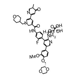 COc1cc(-c2cnc(N)c(-c3ccc(NC(=O)C4=CC(C5=CC(=O)C(C)C=N5)=CN(CC5CCOCC5)C4)cc3F)c2)ccc1OC[C@H]1COCCO1.O.O=P(O)(O)O